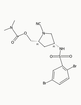 CN(C)C(=O)OC[C@H]1C[C@@H](NS(=O)(=O)c2cc(Br)ccc2Br)CN1C#N